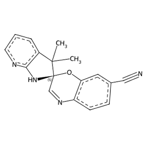 CC1(C)c2cccnc2N[C@@]12C=Nc1ccc(C#N)cc1O2